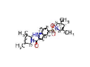 CC1CC(C)CN(C(=O)c2cc3cc(S(=O)(=O)N4CC(C)CC(C)C4)ccc3[nH]2)C1